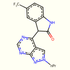 CCCn1cc2c(C3C(=O)Nc4ccc(C(F)(F)F)cc43)ncnc2n1